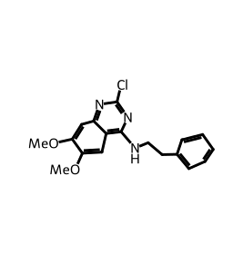 COc1cc2nc(Cl)nc(NCCc3ccccc3)c2cc1OC